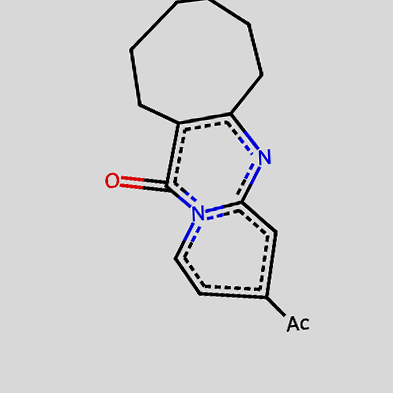 CC(=O)c1ccn2c(=O)c3c(nc2c1)CCCCCC3